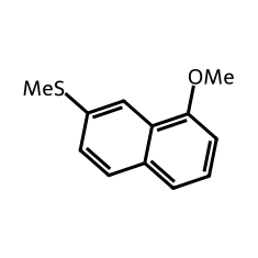 COc1cccc2ccc(SC)cc12